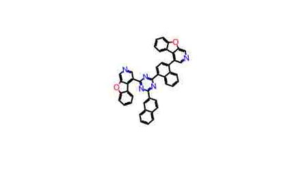 c1ccc2cc(-c3nc(-c4ccc(-c5cncc6oc7ccccc7c56)c5ccccc45)nc(-c4cncc5oc6ccccc6c45)n3)ccc2c1